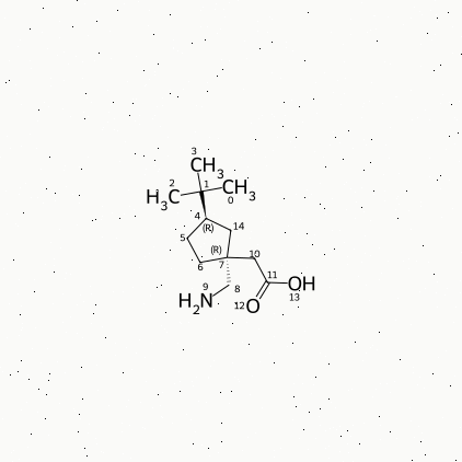 CC(C)(C)[C@@H]1CC[C@](CN)(CC(=O)O)C1